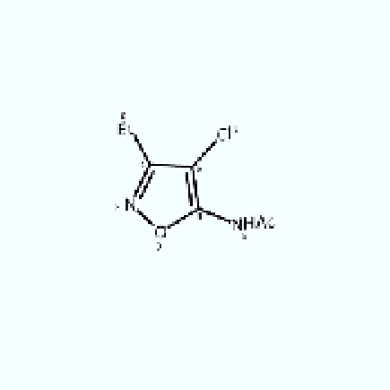 CCc1noc(NC(C)=O)c1Cl